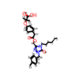 CCCCCCn1c(COC(=O)Cc2ccc(OC(C)(C)C(=O)O)cc2)nn(Cc2ccc(C)cc2)c1=O